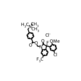 COc1ccc(Cl)cc1[C@]1(F)C(=O)N(COC(=O)c2ccc(C[N+](C)(C)C)cc2)c2cc(C(F)(F)F)ccc21.[Cl-]